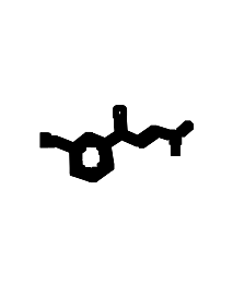 CN(C)/C=C/C(=O)c1cccc(Br)c1